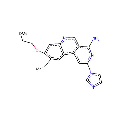 COCCOc1cc2ncc3c(N)nc(-n4ccnc4)cc3c2cc1OC